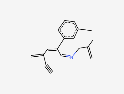 C#CC(=C)/C=C(\C=N/CC(=C)C)c1cccc(C)c1